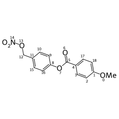 COc1ccc(C(=O)Oc2ccc(CO[N+](=O)[O-])cc2)cc1